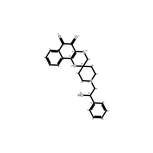 O=C1C(=O)c2ccccc2C2=C1SCC1(CCN(CC(O)c3ccccc3)CC1)O2